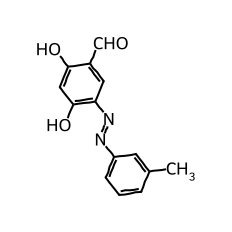 Cc1cccc(N=Nc2cc(C=O)c(O)cc2O)c1